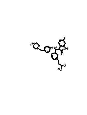 O=C(O)CCc1cccc(C(Nc2ccc(CN3CCNCC3)cc2)=C2C(=O)Nc3cc(F)ccc32)c1